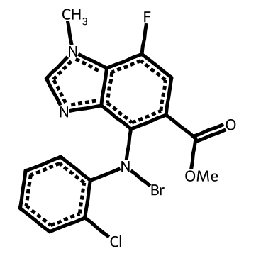 COC(=O)c1cc(F)c2c(ncn2C)c1N(Br)c1ccccc1Cl